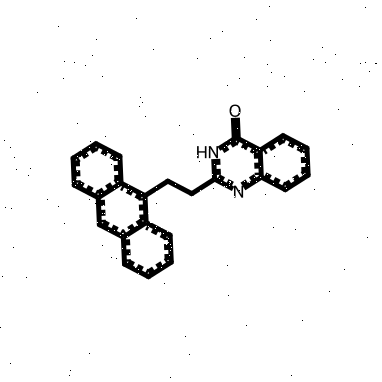 O=c1[nH]c(CCc2c3ccccc3cc3ccccc23)nc2ccccc12